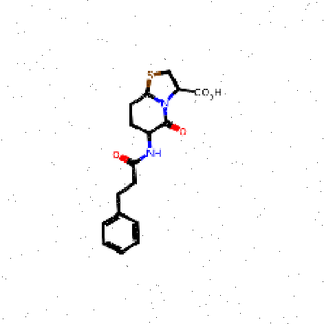 O=C(CCc1ccccc1)NC1CCC2SCC(C(=O)O)N2C1=O